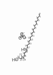 CCCCCCCCCCCCCCCCCCNCCC[N+](C)(C)CCO.O=[N+]([O-])[O-]